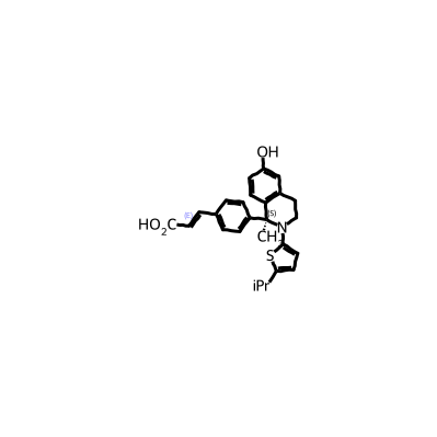 CC(C)c1ccc(N2CCc3cc(O)ccc3[C@]2(C)c2ccc(/C=C/C(=O)O)cc2)s1